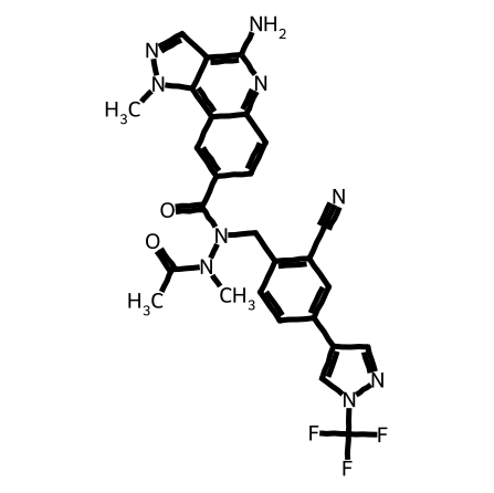 CC(=O)N(C)N(Cc1ccc(-c2cnn(C(F)(F)F)c2)cc1C#N)C(=O)c1ccc2nc(N)c3cnn(C)c3c2c1